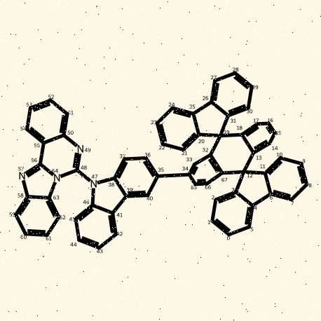 c1ccc2c(c1)-c1ccccc1C21c2ccccc2C2(c3ccccc3-c3ccccc32)c2cc(-c3ccc4c(c3)c3ccccc3n4-c3nc4ccccc4c4nc5ccccc5n34)ccc21